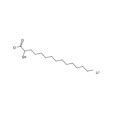 CCCCCCCCCCCCCC(S)C(=O)[O-].[Li+]